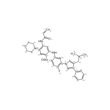 C=CC(=O)Nc1cc(Nc2ncc(F)c(-n3cc(CN(C)C)c(-c4ccccc4)n3)n2)c(OC)nc1N1CCOCC1